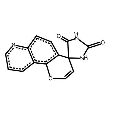 O=C1NC(=O)C2(C=COc3c2ccc2ncccc32)N1